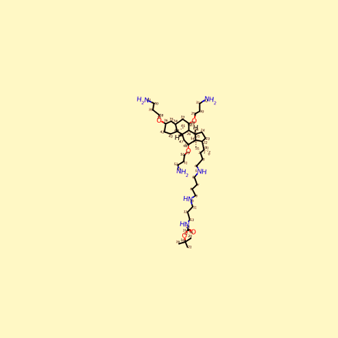 C[C@H](CCCNCCCCNCCCNC(=O)OC(C)(C)C)C1CC[C@H]2C3[C@H](OCCCN)CC4CC(OCCCN)CC[C@]4(C)[C@H]3C[C@H](OCCCN)[C@]12C